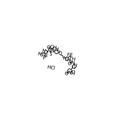 CC1(C)C(=O)N(c2cnc(C#N)c(C(F)(F)F)c2)C(=S)N1C1CCC(OCCCN2CCN(CC(=O)Nc3cc(C4CCC(=O)NC4=O)ccn3)C(C(F)(F)F)C2)CC1.Cl